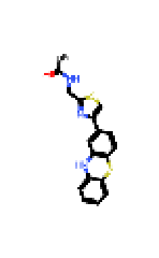 CCCC(=O)NCc1nc(-c2ccc3c(c2)Nc2ccccc2S3)cs1